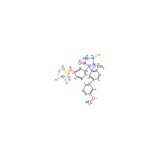 COc1cccc(-c2cccc(C3(c4cccc(OS(=O)(=O)C(F)(F)F)c4)C(=O)NC(=S)N3C)c2)c1